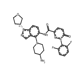 NC1CCN(c2c(NC(=O)c3ccc(=O)n(-c4c(F)cccc4F)n3)ccc3c2cnn3[C@@H]2CCOC2)CC1